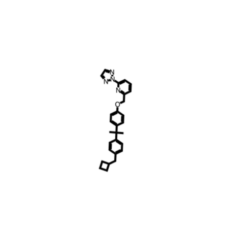 CC(C)(c1ccc(CC2CCC2)cc1)c1ccc(OCc2cccc(-n3nccn3)n2)cc1